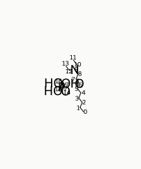 CCCCCCOCCN(CC)CC.O=P(O)(O)O